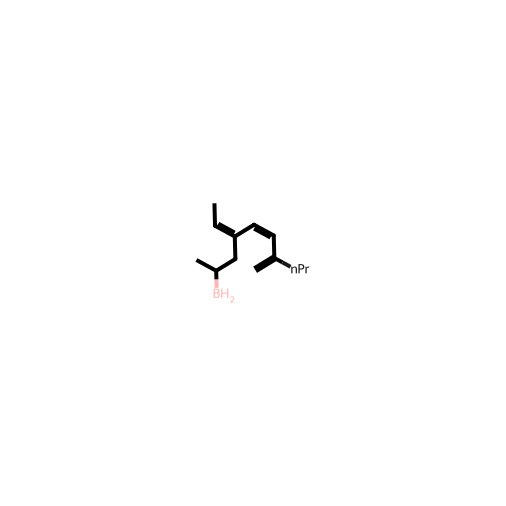 BC(C)CC(/C=C\C(=C)CCC)=C/C